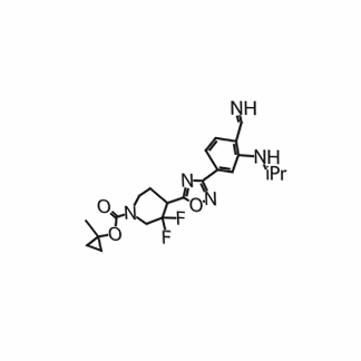 CC(C)Nc1cc(-c2noc(C3CCN(C(=O)OC4(C)CC4)CC3(F)F)n2)ccc1C=N